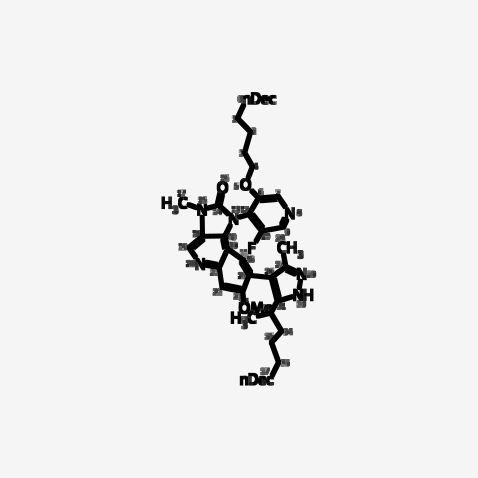 CCCCCCCCCCCCCCOc1cncc(F)c1-n1c(=O)n(C)c2cnc3cc(OC)c(-c4c(C)n[nH]c4C(C)CCCCCCCCCCCCC)cc3c21